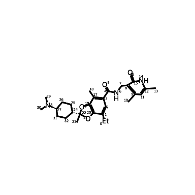 CCc1cc(C(=O)NCc2c(C)cc(C)[nH]c2=O)c(C)c2c1OC(C)([C@H]1CC[C@H](N(C)C)CC1)O2